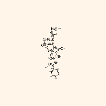 COC(NC(=O)NC1C(=O)N2CC(CSc3nnc(C)s3)(C(=O)O)CS[C@H]12)c1ccccc1